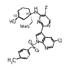 CSC[C@@]1(Nc2nc(-c3cn(S(=O)(=O)c4ccc(C)cc4)c4ncc(Cl)cc34)ncc2F)CCC[C@H](O)C1